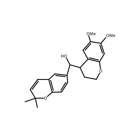 COc1cc2c(cc1OC)C(C(O)c1ccc3c(c1)C=CC(C)(C)O3)CCO2